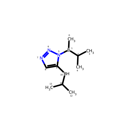 CB(C(C)C)n1nncc1BC(C)C